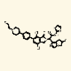 O=C(Nc1nccs1)C(c1ncn2c1CC(F)C2)N1Cc2c(Cl)cc(-c3ccc(C4CCN(CCF)CC4)cc3)c(Cl)c2C1=O